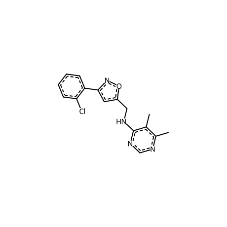 Cc1ncnc(NCc2cc(-c3ccccc3Cl)no2)c1C